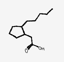 CCCCCC1CCCC1CC(=O)O